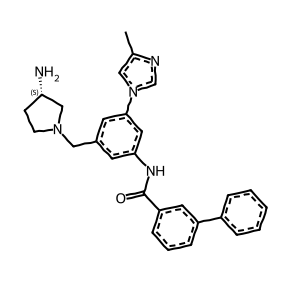 Cc1cn(-c2cc(CN3CC[C@H](N)C3)cc(NC(=O)c3cccc(-c4ccccc4)c3)c2)cn1